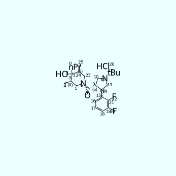 CCCC1(O)[C@H](C)CN(C(=O)[C@@H]2CN(C(C)(C)C)C[C@H]2c2cccc(F)c2F)C[C@@H]1C.Cl